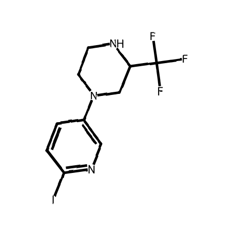 FC(F)(F)C1CN(c2ccc(I)nc2)CCN1